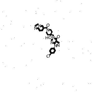 O=C(c1ccc2nccn2c1)N1CCC(O)(Cn2cnc3c(cnn3-c3ccc(Cl)cc3)c2=O)CC1